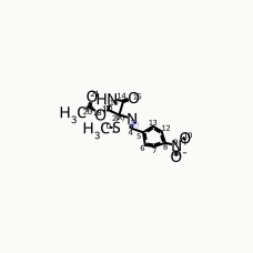 CS[C@@]1(/N=C/c2ccc([N+](=O)[O-])cc2)C(=O)N[C@H]1OC(C)=O